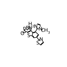 CCCC[S+]([O-])c1sc2cc(-c3nccs3)cc(-c3nccn3C)c2c1N